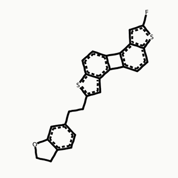 Fc1cc2c3c(ccc2s1)-c1c-3ccc2sc(CCc3ccc4c(c3)OCC4)cc12